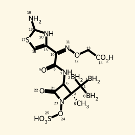 BC(B)(B)[C@]1(C)C(NC(=O)/C(=N\OCC(=O)O)C2=CSC(N)N2)C(=O)N1OS(=O)(=O)O